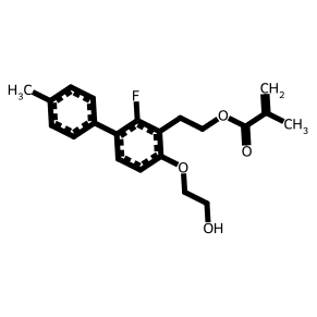 C=C(C)C(=O)OCCc1c(OCCO)ccc(-c2ccc(C)cc2)c1F